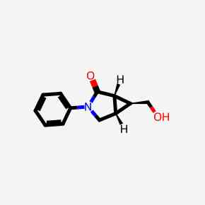 O=C1[C@@H]2[C@@H](CO)[C@@H]2CN1c1ccccc1